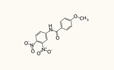 COc1ccc(C(=O)Nc2ccc([N+](=O)[O-])c([N+](=O)[O-])c2)cc1